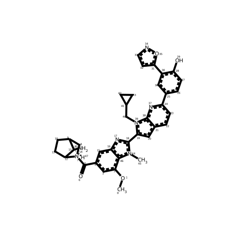 COc1cc(C(=O)N2CC3CCC2[C@@H]3N)cc2nc(-c3cc4ccc(-c5ccc(O)c(-c6ccno6)c5)nc4n3CC3CC3)n(C)c12